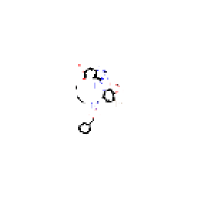 COc1cc2ncnc3c2cc1OCCCCCN(C(=O)OCc1ccccc1)Cc1cc(Br)c2c(c1N3)OCO2